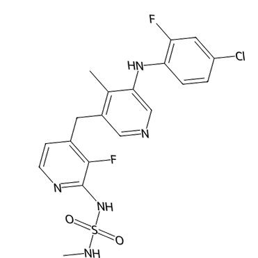 CNS(=O)(=O)Nc1nccc(Cc2cncc(Nc3ccc(Cl)cc3F)c2C)c1F